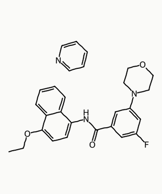 CCOc1ccc(NC(=O)c2cc(F)cc(N3CCOCC3)c2)c2ccccc12.c1ccncc1